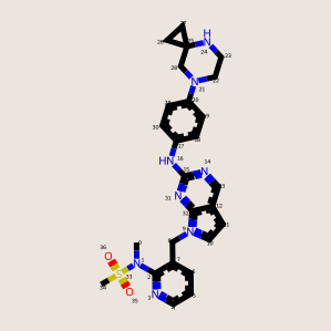 CN(c1ncccc1Cn1ccc2cnc(Nc3ccc(N4CCNC5(CC5)C4)cc3)nc21)S(C)(=O)=O